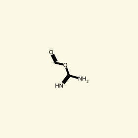 N=C(N)O[C]=O